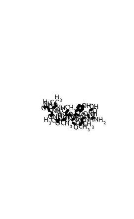 CC[C@H](C)[C@H](NC(=O)[C@H](C)NC(=O)[C@H](C)NC(=O)[C@H](CCC(N)=O)NC(=O)[C@@H](N)C(C)C)C(=O)N[C@@H](CC(=O)O)C(=O)N[C@@H](Cc1ccc(O)cc1)C(=O)N[C@H](C(=O)N[C@@H](CC(N)=O)C(=O)NCC(=O)O)[C@@H](C)CC